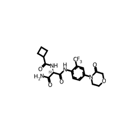 NC(=O)[C@H](NC(=O)C1CCC1)C(=O)Nc1ccc(N2CCOCC2=O)cc1C(F)(F)F